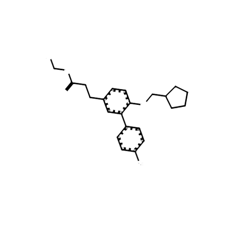 CCOC(=O)CCc1ccc(OCC2CCCC2)c(-c2ccc(N)cc2)c1